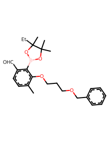 CCC1(C)OB(c2c(C=O)ccc(C)c2OCCCOCc2ccccc2)OC1(C)C